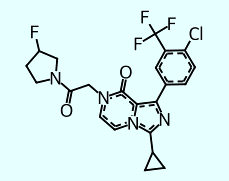 O=C(Cn1ccn2c(C3CC3)nc(-c3ccc(Cl)c(C(F)(F)F)c3)c2c1=O)N1CCC(F)C1